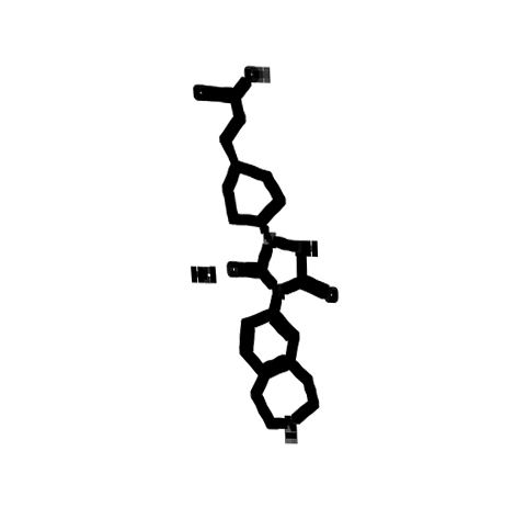 Cl.O=C(O)CC[C@H]1CC[C@H](n2[nH]c(=O)n(-c3ccc4c(c3)CCNCC4)c2=O)CC1